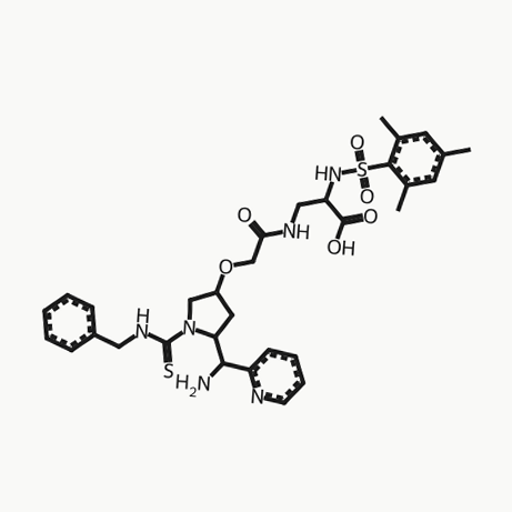 Cc1cc(C)c(S(=O)(=O)NC(CNC(=O)COC2CC(C(N)c3ccccn3)N(C(=S)NCc3ccccc3)C2)C(=O)O)c(C)c1